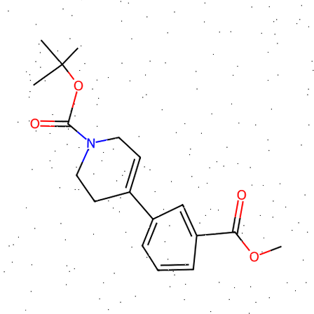 COC(=O)c1cccc(C2=CCN(C(=O)OC(C)(C)C)CC2)c1